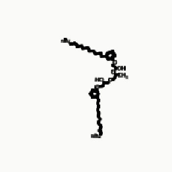 CCCC/C=C/CCCCCCCCCc1cccc(OCC(O)COCC(C)OC(O)COc2cccc(CCCCCCCCC/C=C/CCCC)c2)c1